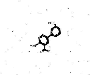 CNc1ncc(-c2cccc(C(=O)O)c2)cc1C(=O)C(C)C